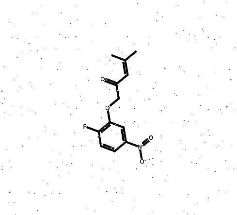 CC(C)=CC(=O)COc1cc([N+](=O)[O-])ccc1F